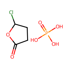 O=C1CCC(Cl)O1.O=P(O)(O)O